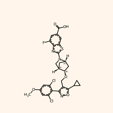 COc1cc(Cl)c(-c2noc(C3CC3)c2CO[C@@H]2C[C@@H]3C[C@H]2CN3c2nc3c(F)cc(C(=O)O)cc3s2)c(Cl)c1